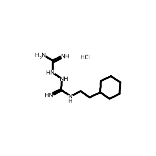 Cl.N=C(N)NNC(=N)NCCC1CCCCC1